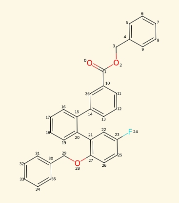 O=C(OCc1ccccc1)c1cccc(-c2ccccc2-c2cc(F)ccc2OCc2ccccc2)c1